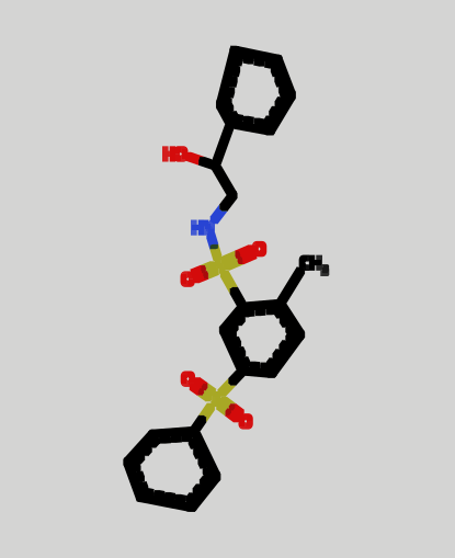 Cc1ccc(S(=O)(=O)c2ccccc2)cc1S(=O)(=O)NCC(O)c1ccccc1